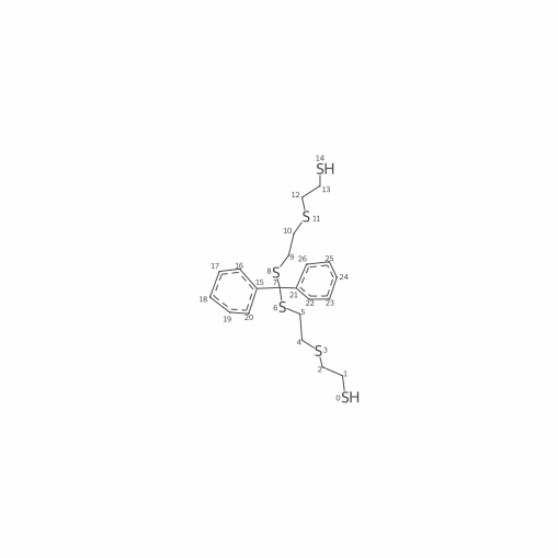 SCCSCCSC(SCCSCCS)(c1ccccc1)c1ccccc1